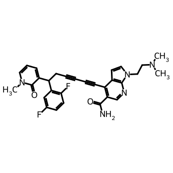 CN(C)CCn1ccc2c(C#CC#CCC(c3cc(F)ccc3F)c3cccn(C)c3=O)c(C(N)=O)cnc21